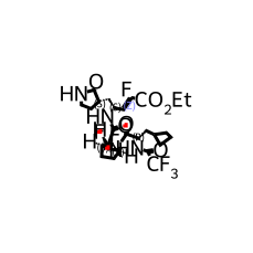 CCOC(=O)/C(F)=C/[C@H](C[C@@H]1CCNC1=O)NC(=O)[C@H]1[C@@H]2CC[C@@H](CC2(F)F)N1C(=O)[C@@H](CC1CCC1)NC(=O)C(F)(F)F